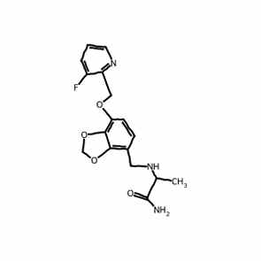 CC(NCc1ccc(OCc2ncccc2F)c2c1OCO2)C(N)=O